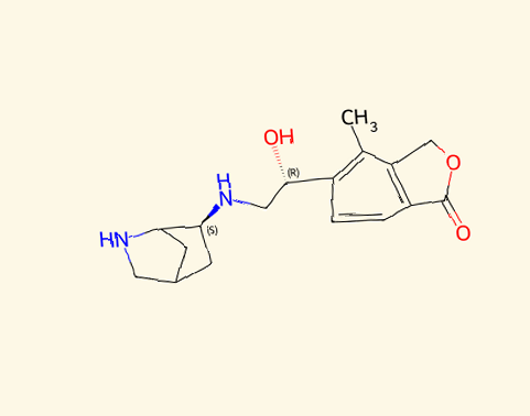 Cc1c([C@@H](O)CN[C@H]2CC3CNC2C3)ccc2c1COC2=O